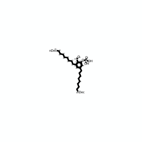 CCCCCCCCCCCCCCCCCCc1cc(CCCCCCCCCCCCCCCCCC)c(I=O)c(OP(=O)(O)O)c1